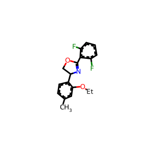 CCOc1cc(C)ccc1C1COC(c2c(F)cccc2F)=N1